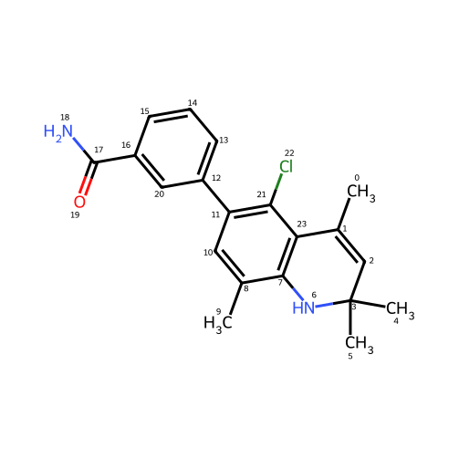 CC1=CC(C)(C)Nc2c(C)cc(-c3cccc(C(N)=O)c3)c(Cl)c21